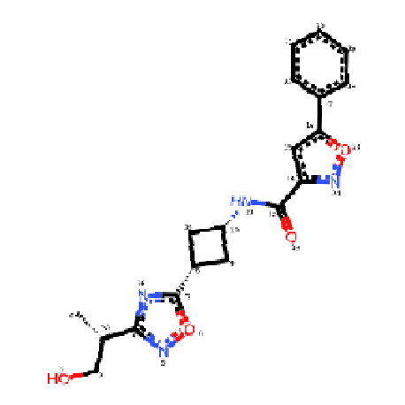 C[C@@H](CO)c1noc([C@H]2C[C@@H](NC(=O)c3cc(-c4ccccc4)on3)C2)n1